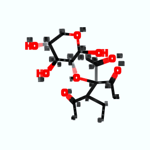 CCC(C(C)=O)C(O[C@@H]1[C@@H](O)[C@H](O)CO[C@H]1O)(C(C)=O)C(C)=O